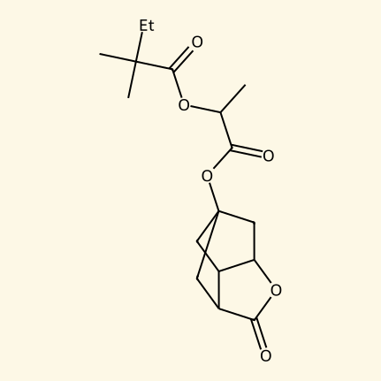 CCC(C)(C)C(=O)OC(C)C(=O)OC12CC3OC(=O)C(C1)C3C2